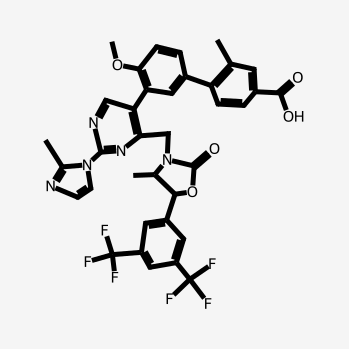 COc1ccc(-c2ccc(C(=O)O)cc2C)cc1-c1cnc(-n2ccnc2C)nc1CN1C(=O)OC(c2cc(C(F)(F)F)cc(C(F)(F)F)c2)C1C